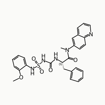 COc1ccccc1NS(=O)(=O)NC(=O)N[C@@H](Cc1ccccc1)C(=O)N(C)c1ccc2ncccc2c1